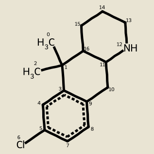 CC1(C)c2cc(Cl)ccc2CC2NCCCC21